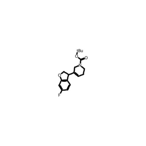 CC(C)(C)OC(=O)N1CCC=C(C2COc3cc(F)ccc32)C1